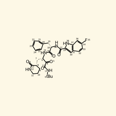 CC(C)(C)NC(=O)C(=O)[C@H](C[C@@H]1CCCNC1=O)NC(=O)[C@H](Cc1ccccc1)NC(=O)c1cc2ccc(F)cc2[nH]1